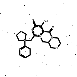 O=C1c2c(O)c(=O)nc(CC3(C4=CC=CCC4)CCCC3)n2CC2COCCN12